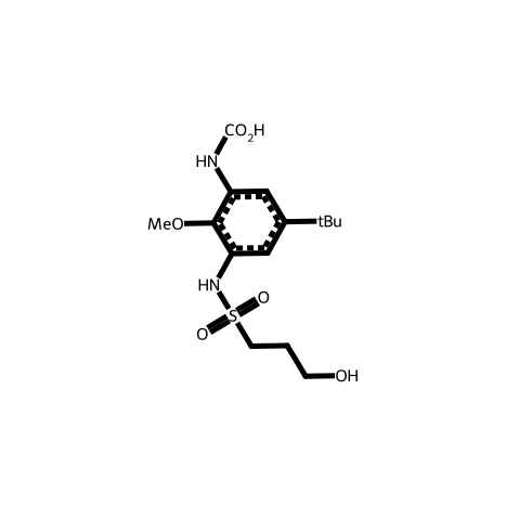 COc1c(NC(=O)O)cc(C(C)(C)C)cc1NS(=O)(=O)CCCO